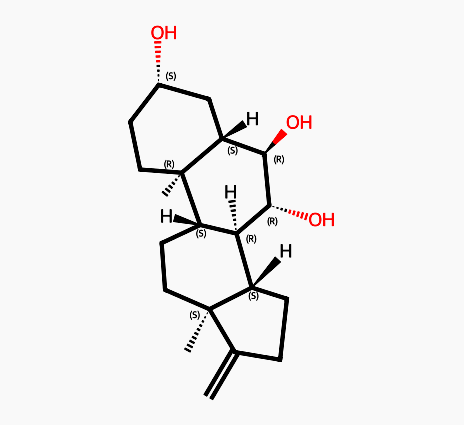 C=C1CC[C@H]2[C@@H]3[C@@H](O)[C@H](O)[C@H]4C[C@@H](O)CC[C@]4(C)[C@H]3CC[C@]12C